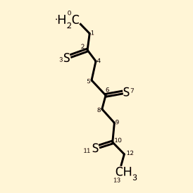 [CH2]CC(=S)CCC(=S)CCC(=S)CC